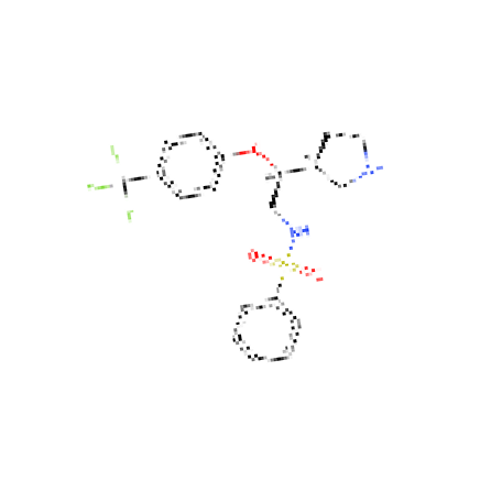 O=S(=O)(NC[C@@H](Oc1ccc(C(F)(F)F)cc1)[C@H]1CCNC1)c1ccccc1